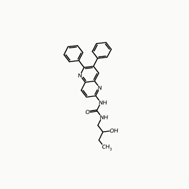 CCC(O)CNC(=O)Nc1ccc2nc(-c3ccccc3)c(-c3ccccc3)cc2n1